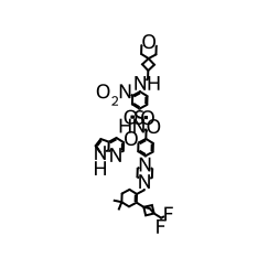 CC1(C)CCC(CN2CCN(c3ccc(C(=O)NS(=O)(=O)c4ccc(NCC5CC6(CCOCC6)C5)c([N+](=O)[O-])c4)c(Oc4cnc5[nH]ccc5c4)c3)CC2)=C(C23CC(C(F)F)(C2)C3)C1